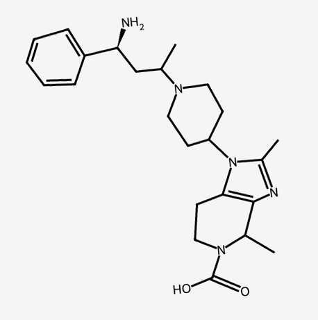 Cc1nc2c(n1C1CCN(C(C)C[C@H](N)c3ccccc3)CC1)CCN(C(=O)O)C2C